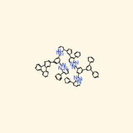 C1=CC(c2cccn3nc(-c4cc(-c5cc(-c6ccccc6)cc(-c6ccccc6)c5)cc(-c5nc6c(-c7ccccc7)c(-c7cccc(-c8cccn9nc(-c%10cc(-c%11ccc%12c%13ccccc%13c%13ccccc%13c%12c%11)cc(-c%11nc%12c(-c%13ccccc%13)cccn%12n%11)c%10)nc89)c7)ccn6n5)c4)nc23)=CCC1